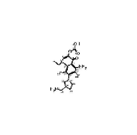 CCn1cc(OC(=O)O)c(=O)c2c(N)c(F)c(N3CCC(CN)C3)c(F)c21